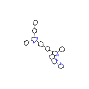 c1ccc(-c2ccc(-c3cc(-c4ccccc4)nc(-c4ccc(-c5ccc(-c6cc(-c7ccccc7)nc7c6ccc6ccc(-c8ccccn8)nc67)cc5)cc4)n3)cc2)cc1